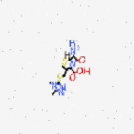 Cc1nnc(SCC2=C(C(=O)O)N3C(=O)C(N)[C@@H]3SC2)n1C